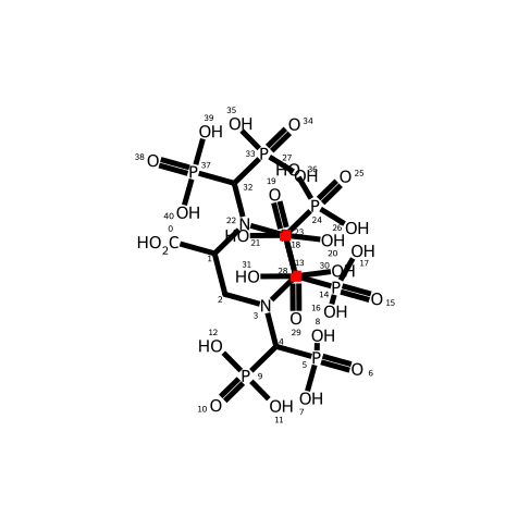 O=C(O)C(CN(C(P(=O)(O)O)P(=O)(O)O)C(P(=O)(O)O)P(=O)(O)O)N(C(P(=O)(O)O)P(=O)(O)O)C(P(=O)(O)O)P(=O)(O)O